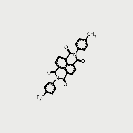 Cc1ccc(N2C(=O)c3ccc4c5c(ccc(c35)C2=O)C(=O)N(c2ccc(C(F)(F)F)cc2)C4=O)cc1